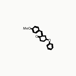 COc1ccc(/C=C2/CC(Oc3ccccc3)CCC2=O)cc1